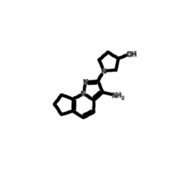 Nc1c(N2CCC(O)C2)nn2c3c(ccc12)CCC3